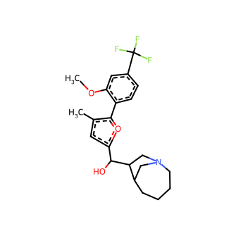 COc1cc(C(F)(F)F)ccc1-c1oc(C(O)C2CN3CCCCC2C3)cc1C